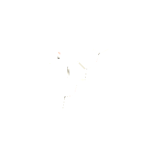 CC(=O)Oc1cc(C(=O)Cl)cc(OC(C)=O)c1C